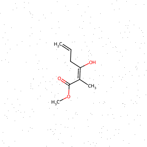 C=CCC(O)=C(C)C(=O)OC